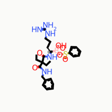 CCC(CC)(C(=O)NCc1ccccc1)C(=O)N[C@@H](CCCNC(=N)N)B(O)OS(=O)(=O)c1ccccc1